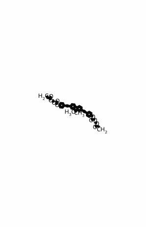 C=CC(=O)OCOC(=O)Oc1ccc(C#Cc2ccc3c(c2)C(C)(C)c2cc(C#Cc4ccc(OC(=O)OCOC(=O)C=C)cc4)ccc2-3)cc1